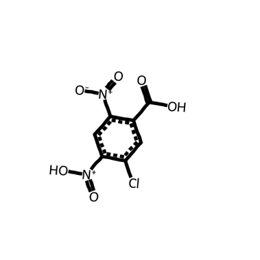 O=C(O)c1cc(Cl)c([N+](=O)O)cc1[N+](=O)[O-]